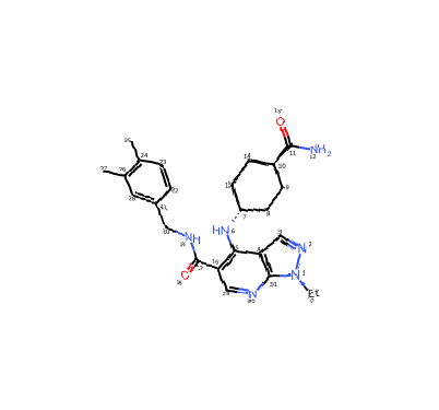 CCn1ncc2c(N[C@H]3CC[C@H](C(N)=O)CC3)c(C(=O)NCc3ccc(C)c(C)c3)cnc21